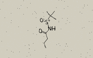 CCCC(=O)N[S+]([O-])C(C)(C)C